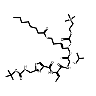 C/C=C(\NC(=O)c1csc(CNC(=O)OC(C)(C)C)n1)C(=O)N[C@@H](CC(C)C)C(=O)O[C@H](/C=C/CCSC(=O)CCCCCCC)CC(=O)OCC[Si](C)(C)C